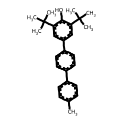 Cc1ccc(-c2ccc(-c3cc(C(C)(C)C)c(O)c(C(C)(C)C)c3)cc2)cc1